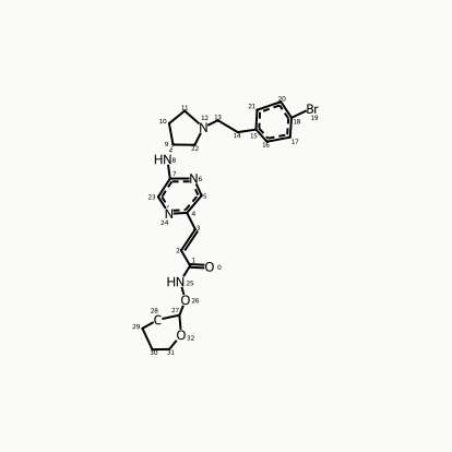 O=C(/C=C/c1cnc(N[C@@H]2CCN(CCc3ccc(Br)cc3)C2)cn1)NOC1CCCCO1